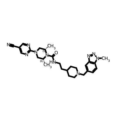 C[C@@H]1CN(c2ncc(C#N)cn2)C[C@H](C)N1C(=O)NCCC1CCN(Cc2ccc3c(c2)nnn3C)CC1